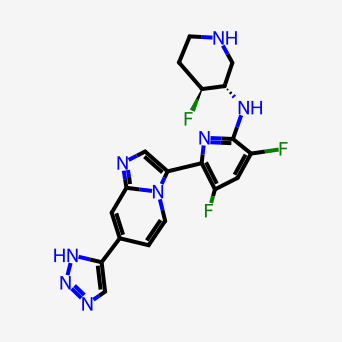 Fc1cc(F)c(-c2cnc3cc(-c4cnn[nH]4)ccn23)nc1N[C@H]1CNCC[C@@H]1F